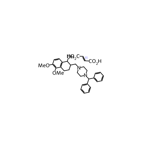 COc1ccc2c(c1OC)CCC(CN1CCN(C(c3ccccc3)c3ccccc3)CC1)C2O.O=C(O)/C=C/C(=O)O